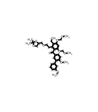 CCc1c(OCOC)cc(OCOC)c(C(=O)c2ccc(OC)c(-c3cccc(OC)c3)c2)c1CCOCC1COC(C)(C)O1